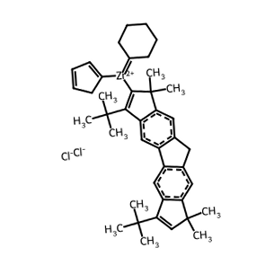 CC(C)(C)C1=CC(C)(C)c2cc3c(cc21)-c1cc2c(cc1C3)C(C)(C)[C]([Zr+2]([C]1=CC=CC1)=[C]1CCCCC1)=C2C(C)(C)C.[Cl-].[Cl-]